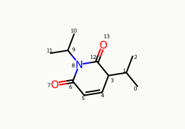 CC(C)C1C=CC(=O)N(C(C)C)C1=O